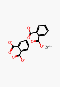 O=C([O-])c1ccccc1C(=O)[O-].O=C([O-])c1ccccc1C(=O)[O-].[Zr+4]